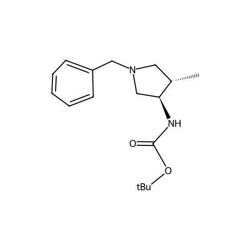 C[C@H]1CN(Cc2ccccc2)C[C@@H]1NC(=O)OC(C)(C)C